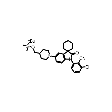 CC(C)(C)[Si](C)(C)OCC1CCN(c2ccc3c(c2)C2(CCCCC2)C(=O)N3c2cccc(Cl)c2C#N)CC1